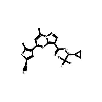 Cc1oc(C#N)cc1-c1cc(C)n2ncc(C(=O)N[C@@H](C3CC3)C(F)(F)F)c2n1